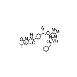 Cc1cn(C(C)C)c(=O)nc1NC(=O)c1ccc(C(C#N)COc2nc(NC(=O)Cc3ccccc3)nc3c2ncn3C)cc1